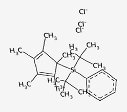 CC1=C(C)C(C)([Si](c2ccccc2)(C(C)(C)C)C(C)(C)C)[C]([Ti+3])=C1C.[Cl-].[Cl-].[Cl-]